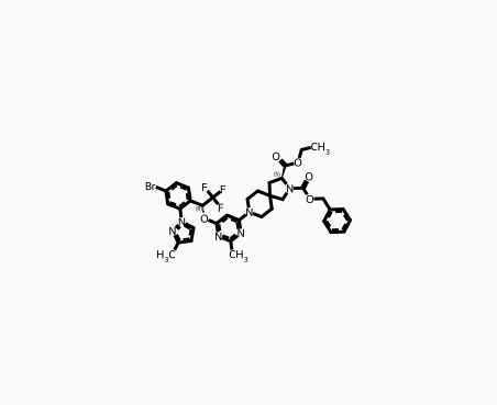 CCOC(=O)[C@@H]1CC2(CCN(c3cc(O[C@H](c4ccc(Br)cc4-n4ccc(C)n4)C(F)(F)F)nc(C)n3)CC2)CN1C(=O)OCc1ccccc1